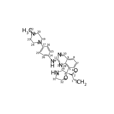 C=CC(=O)[C@]1(c2cccc3cnc(Nc4ccc(N5CCN(C)CC5)cc4)nc23)CNCCO1